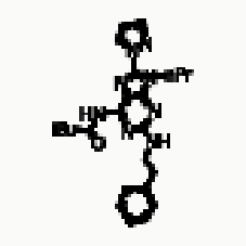 CCCn1c(-n2cccn2)nc2c(NC(=O)C(C)CC)nc(NCCc3ccccc3)nc21